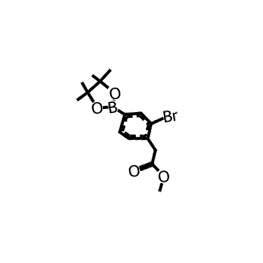 COC(=O)Cc1ccc(B2OC(C)(C)C(C)(C)O2)cc1Br